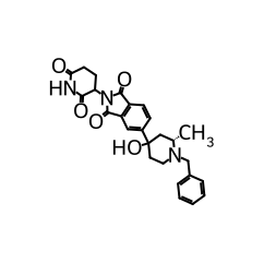 C[C@H]1CC(O)(c2ccc3c(c2)C(=O)N(C2CCC(=O)NC2=O)C3=O)CCN1Cc1ccccc1